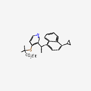 CCOC(=O)C(C)(C)Sc1ccncc1C(C)c1ccc(C2CC2)c2ccccc12